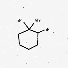 CCCC1CCCC[C]1([Sb])CCC